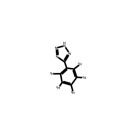 [2H]c1c([2H])c([2H])c(-c2nn[nH]n2)c([2H])c1[2H]